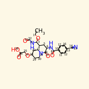 CCOC(CCC(NC(=O)c1ccc(C#N)cc1)C(=O)N1CCC(OCC(=O)O)CC1)NC=O